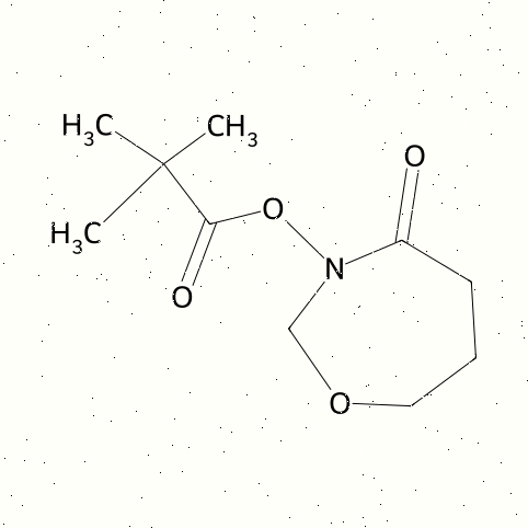 CC(C)(C)C(=O)ON1COCCCC1=O